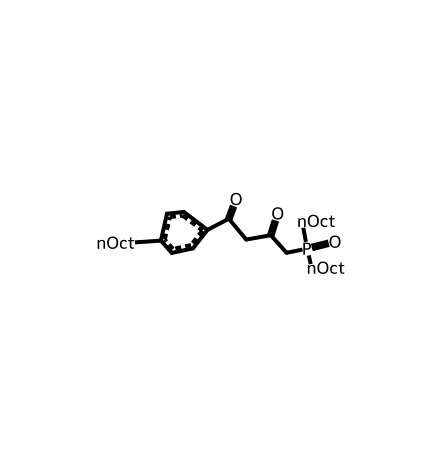 CCCCCCCCc1ccc(C(=O)CC(=O)CP(=O)(CCCCCCCC)CCCCCCCC)cc1